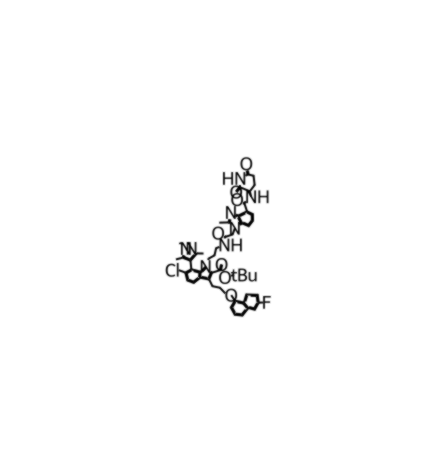 Cc1nn(C)c(C)c1-c1c(Cl)ccc2c(CCCOc3cccc4cc(F)ccc34)c(C(=O)OC(C)(C)C)n(CCCNC(=O)Cn3c(C)nc4c(C(=O)NC5CCC(=O)NC5=O)cccc43)c12